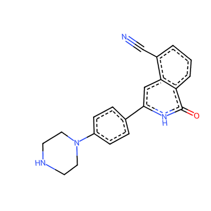 N#Cc1cccc2c(=O)[nH]c(-c3ccc(N4CCNCC4)cc3)cc12